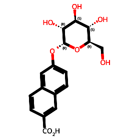 O=C(O)c1ccc2cc(O[C@H]3O[C@H](CO)[C@@H](O)[C@H](O)[C@H]3O)ccc2c1